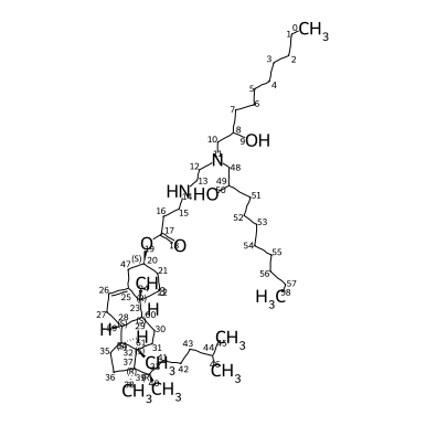 CCCCCCCCC(O)CN(CCNCCC(=O)O[C@H]1CC[C@@]2(C)C(=CC[C@@H]3[C@@H]2CC[C@@]2(C)[C@H]3CC[C@]2(C)[C@H](C)CCCC(C)C)C1)CC(O)CCCCCCCC